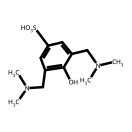 CN(C)Cc1cc(S(=O)(=O)O)cc(CN(C)C)c1O